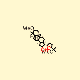 CO[C@H]1CC[C@]23CC24CC[C@]2(C)[C@@H](C5CC[C@@H](C(C)(C)OC)O5)[C@@H](O)C[C@@]2(C)[C@@H]4CC[C@H]3C1(C)C